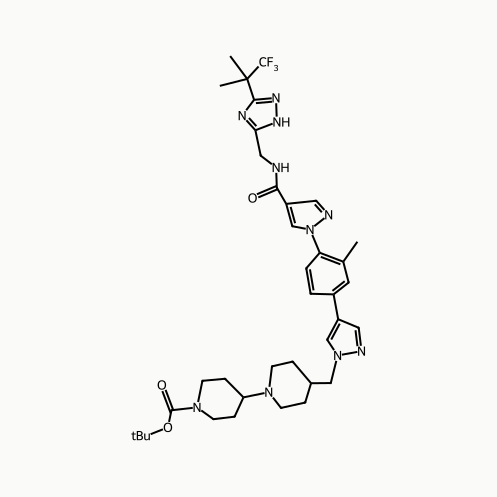 Cc1cc(-c2cnn(CC3CCN(C4CCN(C(=O)OC(C)(C)C)CC4)CC3)c2)ccc1-n1cc(C(=O)NCc2nc(C(C)(C)C(F)(F)F)n[nH]2)cn1